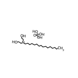 CCCCCCCCCCCCCCCCN(CCO)CCO.O=P(O)(O)O